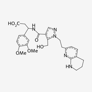 COc1ccc(C(CC(=O)O)NC(=O)c2cnn(CCc3ccc4c(n3)NCCC4)c2CO)cc1OC